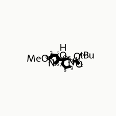 COc1ccc(C2(O)CCCN(C(=O)OC(C)(C)C)C2)cn1